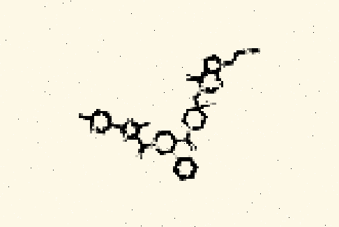 C=C=CCn1ccc2c(=O)n(CC3(O)CCN(C(=O)[C@@H]4CCN(C(=O)c5sc(-c6ccc(C)nc6)nc5C)C[C@H]4c4ccccc4)CC3)cnc21